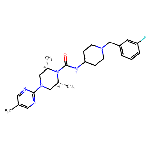 C[C@@H]1CN(c2ncc(C(F)(F)F)cn2)C[C@H](C)N1C(=O)NC1CCN(Cc2cccc(F)c2)CC1